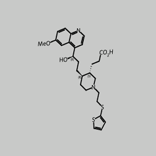 COc1ccc2nccc([C@H](O)CC[C@@H]3CCN(CCSc4cccs4)C[C@H]3CCC(=O)O)c2c1